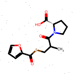 CC(CSC(=O)c1ccco1)C(=O)N1CCC[C@H]1C(=O)O